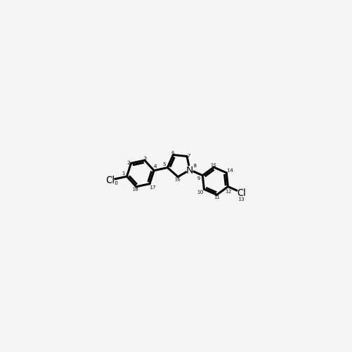 Clc1ccc(C2=CCN(c3ccc(Cl)cc3)C2)cc1